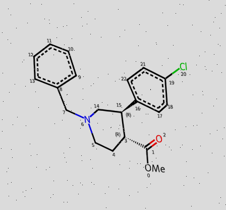 COC(=O)[C@@H]1CCN(Cc2ccccc2)C[C@H]1c1ccc(Cl)cc1